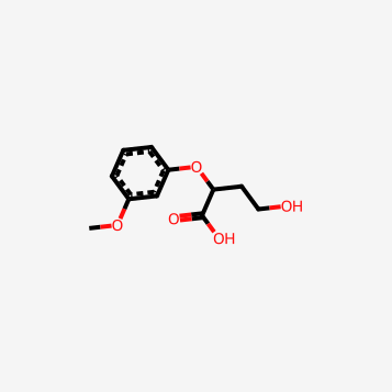 COc1cccc(OC(CCO)C(=O)O)c1